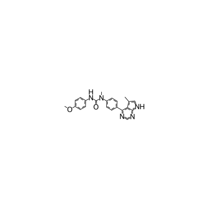 COc1ccc(NC(=O)N(C)c2ccc(-c3ncnc4[nH]cc(C)c34)cc2)cc1